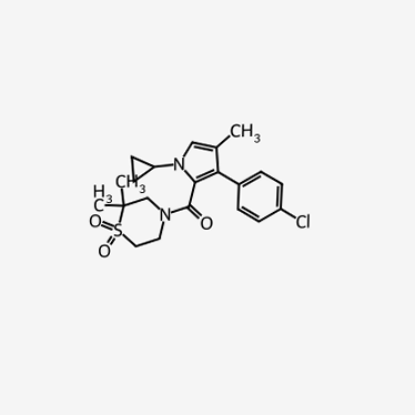 Cc1cn(C2CC2)c(C(=O)N2CCS(=O)(=O)C(C)(C)C2)c1-c1ccc(Cl)cc1